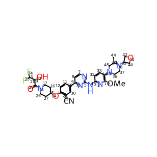 COc1nc(Nc2nccc(-c3ccc(OC4CCN(C(=O)[C@@H](O)C(F)F)CC4)c(C#N)c3)n2)ccc1N1CCN(C2COC2)[C@H](C)C1